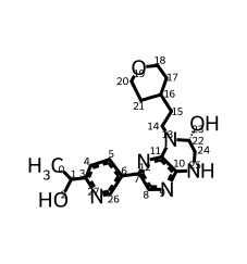 CC(O)c1ccc(-c2cnc3c(n2)N(CCC2CCOCC2)[C@H](O)CN3)cn1